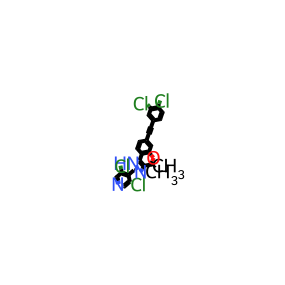 CC1(C)Oc2cc(C#Cc3ccc(Cl)c(Cl)c3)ccc2-c2[nH]c(-c3c(Cl)cncc3Cl)nc21